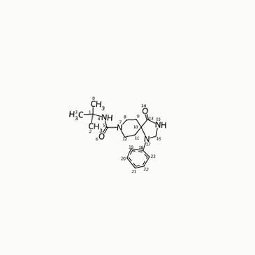 CC(C)(C)NC(=O)N1CCC2(CC1)C(=O)NCN2c1ccccc1